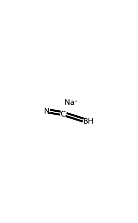 B=C=[N-].[Na+]